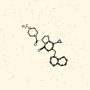 CN1CCN(C(=O)[C@@H]2CSc3c(C4CC4)c(Cc4cccc5ccccc45)cc(=O)n32)CC1